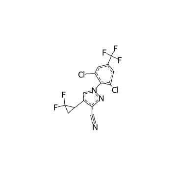 N#Cc1nn(-c2c(Cl)cc(C(F)(F)F)cc2Cl)cc1C1CC1(F)F